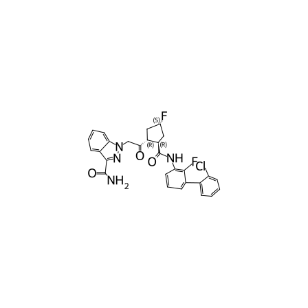 NC(=O)c1nn(CC(=O)[C@@H]2C[C@H](F)C[C@H]2C(=O)Nc2cccc(-c3ccccc3Cl)c2F)c2ccccc12